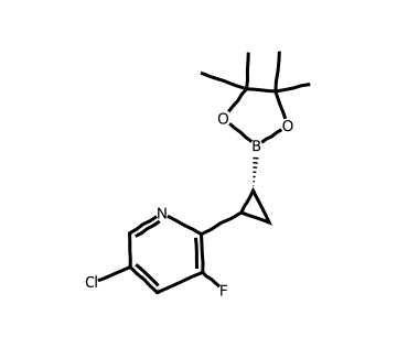 CC1(C)OB([C@@H]2CC2c2ncc(Cl)cc2F)OC1(C)C